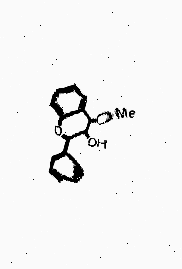 COC1c2ccccc2OC(c2ccccc2)C1O